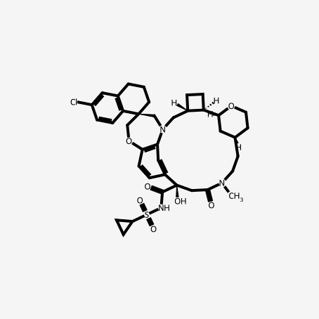 CN1CC[C@H]2CCO[C@@H](C2)[C@@H]2CC[C@H]2CN2C[C@@]3(CCCc4cc(Cl)ccc43)COc3ccc(cc32)[C@@](O)(C(=O)NS(=O)(=O)C2CC2)CC1=O